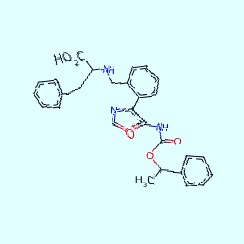 CC(OC(=O)Nc1ocnc1-c1ccccc1CNC(Cc1ccccc1)C(=O)O)c1ccccc1